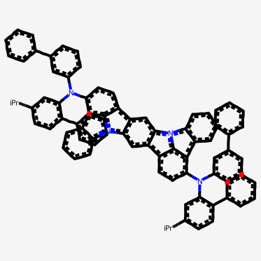 CC(C)c1ccc(-c2ccccc2)c(N(c2cccc(-c3ccccc3)c2)c2ccc3c4cc5c(cc4n4c6ccccc6c2c34)c2ccc(N(c3cccc(-c4ccccc4)c3)c3cc(C(C)C)ccc3-c3ccccc3)c3c4ccccc4n5c23)c1